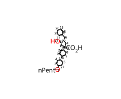 CCCCCOc1ccc(-c2ccc(C(CCO)(CCCc3ccccc3)C(=O)O)cc2)cc1